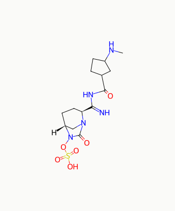 CNC1CCC(C(=O)NC(=N)[C@@H]2CC[C@@H]3CN2C(=O)N3OS(=O)(=O)O)C1